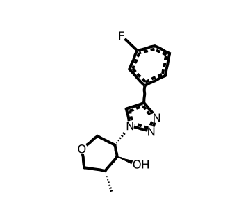 C[C@@H]1COC[C@H](n2cc(-c3cccc(F)c3)nn2)[C@H]1O